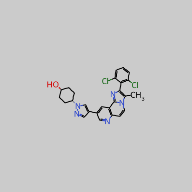 Cc1c(-c2c(Cl)cccc2Cl)nc2c3cc(-c4cnn([C@H]5CC[C@H](O)CC5)c4)cnc3ccn12